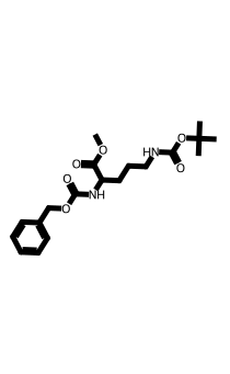 COC(=O)C(CCCNC(=O)OC(C)(C)C)NC(=O)OCc1ccccc1